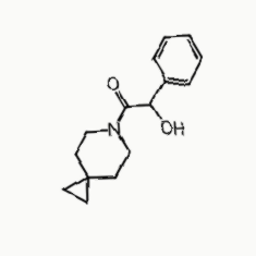 O=C(C(O)c1ccccc1)N1CCC2(CC1)CC2